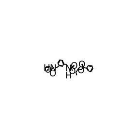 COC(=O)NCc1cccc(CNC(=O)OC(C)COC(=O)c2ccccc2)c1